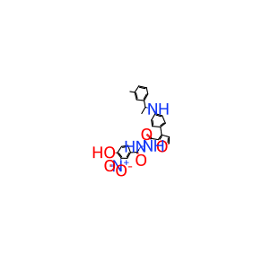 Cc1cccc(C(C)Nc2ccc(-c3ccoc3C(=O)NNC(=O)c3ccc(O)c([N+](=O)[O-])c3)cc2)c1